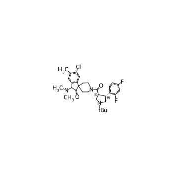 Cc1cc2c(cc1Cl)C1(CCN(C(=O)[C@@H]3CN(C(C)(C)C)C[C@H]3c3ccc(F)cc3F)CC1)C(=O)C2N(C)C